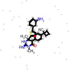 CN1C(=N)N[C@](C)(c2ccc(C3=CC=CC(N)C3)s2)C(c2ccc(C3(C#N)CCC3)cc2)C1=O